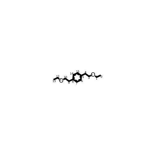 CCOCCc1ccc(CCOCC)cc1